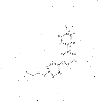 CCCCc1ccc(-c2cccc(-c3ccc(C)cc3)c2)cc1